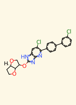 Clc1cccc(-c2ccc(-c3nc4nc(OC5CO[C@@H]6CCOC56)[nH]c4cc3Cl)cc2)c1